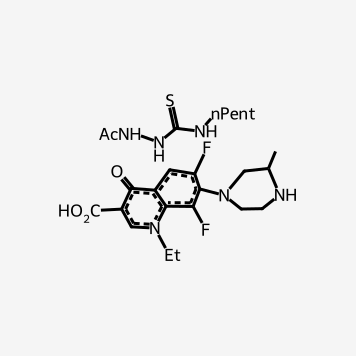 CCCCCNC(=S)NNC(C)=O.CCn1cc(C(=O)O)c(=O)c2cc(F)c(N3CCNC(C)C3)c(F)c21